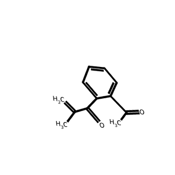 C=C(C)C(=O)c1ccccc1C(C)=O